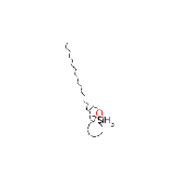 CCCCCCCCCCCCCCCCCCC1(C2([SiH3])CCCCO2)CCCCCCCC1